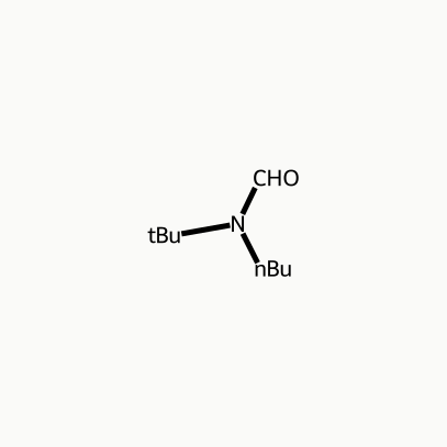 CCCCN(C=O)C(C)(C)C